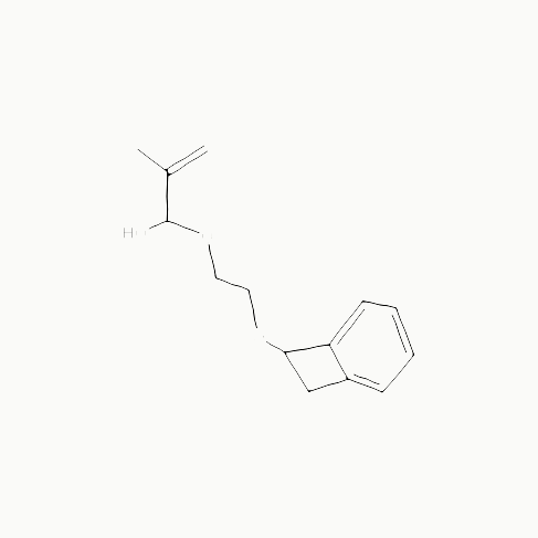 C=C(C)C(O)OCCOC1Cc2ccccc21